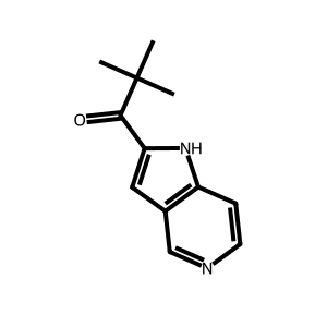 CC(C)(C)C(=O)c1cc2cnccc2[nH]1